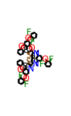 CN1c2cc(Oc3c(F)cccc3F)cc3c2B(c2sc4c(c21)Oc1cc(Oc2c(F)cccc2F)cc2c1B4c1ccccc1O2)c1sc2c(c1N3C)N(C)c1cc(Oc3c(F)cccc3F)cc3c1B2c1ccccc1O3